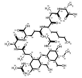 CCCCC[C@H](NC(=O)CC[C@@H](NC(=O)[C@H](C)NC(=O)[C@@H](C)O[C@H]1C(O[C@@H]2O[C@H](CO)[C@@H](OC)[C@H](O)[C@H]2NC(C)=O)[C@@H](CO)OC(C)[C@@H]1NC(C)=O)C(=O)O)C(=O)N[C@H](C)C(=O)N[C@H](C)C(=O)O